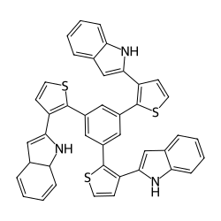 C1=CC2C=C(c3ccsc3-c3cc(-c4sccc4-c4cc5ccccc5[nH]4)cc(-c4sccc4-c4cc5ccccc5[nH]4)c3)NC2C=C1